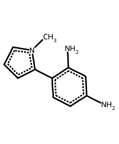 Cn1cccc1-c1ccc(N)cc1N